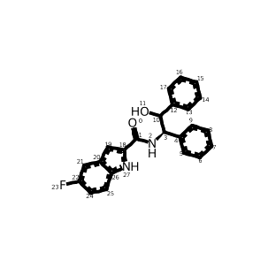 O=C(N[C@H](c1ccccc1)C(O)c1ccccc1)c1cc2cc(F)ccc2[nH]1